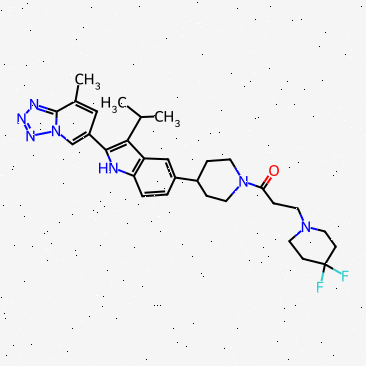 Cc1cc(-c2[nH]c3ccc(C4CCN(C(=O)CCN5CCC(F)(F)CC5)CC4)cc3c2C(C)C)cn2nnnc12